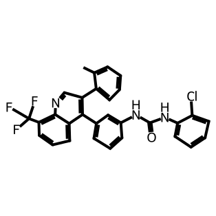 Cc1ccccc1-c1cnc2c(C(F)(F)F)cccc2c1-c1cccc(NC(=O)Nc2ccccc2Cl)c1